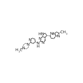 Cc1cn2nc(-c3c[nH]c4nc(Nc5ccnc(N6CCN(C)CC6)c5)ncc34)ccc2n1